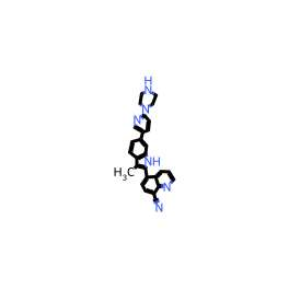 Cc1c(-c2ccc(C#N)c3ncccc23)[nH]c2cc(-c3ccc(N4CCNCC4)nc3)ccc12